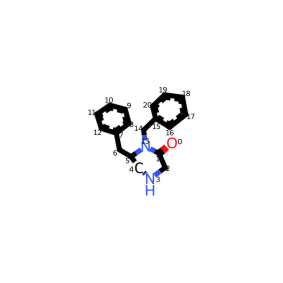 O=C1CNCC(Cc2ccccc2)N1Cc1ccccc1